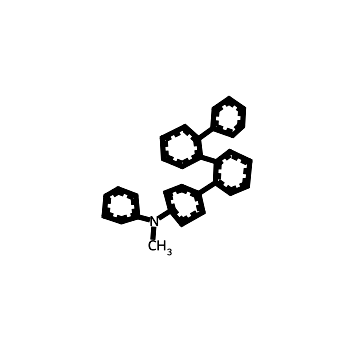 CN(c1ccccc1)c1ccc(-c2ccccc2-c2ccccc2-c2ccccc2)cc1